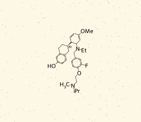 CCN(Cc1ccc(OCCN(C)C(C)C)c(F)c1)C1C=C(OC)C=CC1[C@@H]1CCc2cc(O)ccc2C1